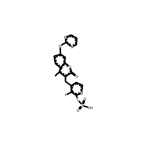 Cc1c(Cc2ccnc(CS(=O)(=O)O)c2F)c(=O)oc2cc(Oc3ncccn3)ccc12